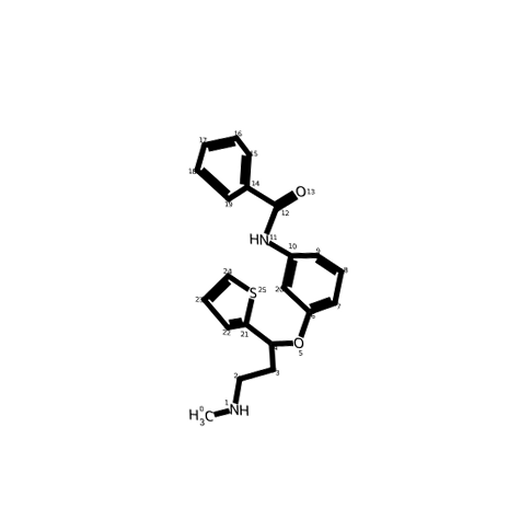 CNCCC(Oc1cccc(NC(=O)c2ccccc2)c1)c1cccs1